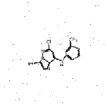 CC(C)c1cnc2c(Nc3cccc(C(F)(F)F)c3)cc(Cl)nn12